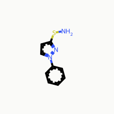 NSc1ccn(-c2ccccc2)n1